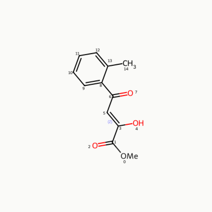 COC(=O)/C(O)=C/C(=O)c1ccccc1C